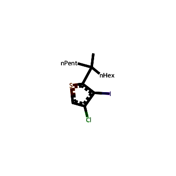 CCCCCCC(C)(CCCCC)c1scc(Cl)c1I